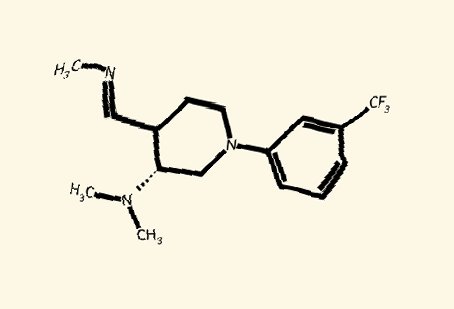 C/N=C/C1CCN(c2cccc(C(F)(F)F)c2)C[C@@H]1N(C)C